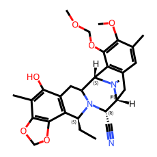 CC[C@H]1c2c(c(O)c(C)c3c2OCO3)CC2[C@@H]3c4c(cc(C)c(OC)c4OCOC)C[C@H]([C@H](C#N)N21)N3C